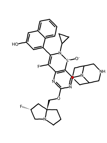 [O-][S+]1c2c(nc(OC[C@@]34CCCN3C[C@H](F)C4)nc2N2C3CNCC2COC3)C(F)=C(c2cc(O)cc3ccccc23)N1C1CC1